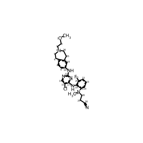 COCCN1CCc2ccc(Nc3ncc(Cl)c(Nc4c(F)cccc4N(C)CCC#N)n3)cc2CC1